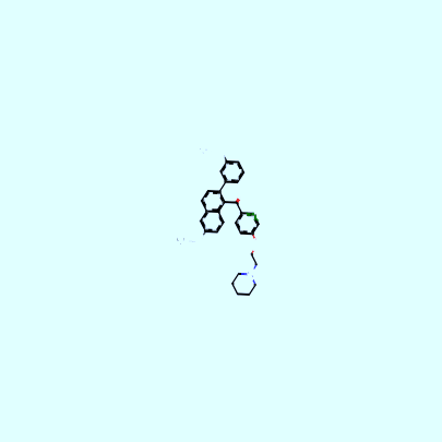 COc1cccc(-c2ccc3cc(OC)ccc3c2C(=O)c2ccc(OCCN3CCCCC3)cc2)c1.Cl